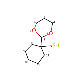 SC1(C2OCCCO2)CCCCC1